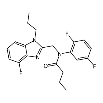 CCCC(=O)N(Cc1nc2c(F)cccc2n1CCC)c1cc(F)ccc1F